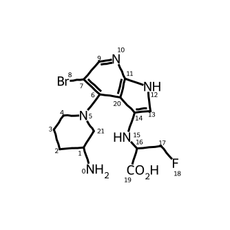 NC1CCCN(c2c(Br)cnc3[nH]cc(NC(CF)C(=O)O)c23)C1